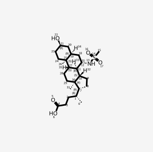 C[C@H](CCC(=O)O)[C@H]1CC[C@H]2[C@@H]3[C@@H](NS(C)(=O)=O)C[C@@H]4C[C@H](O)CC[C@]4(C)[C@H]3CC[C@]12C